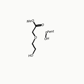 CCCCCO.COC(=O)COCCO